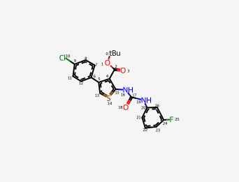 CC(C)(C)OC(=O)c1c(-c2ccc(Cl)cc2)csc1NC(=O)Nc1cccc(F)c1